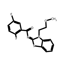 COCCn1c(=NC(=O)c2cc(F)ccc2F)sc2ccccc21